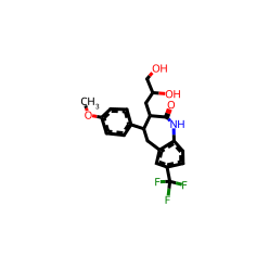 COc1ccc(C2Cc3cc(C(F)(F)F)ccc3NC(=O)C2CC(O)CO)cc1